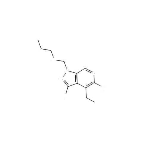 CCCOCn1nc(I)c2c(CC)c(Cl)ncc21